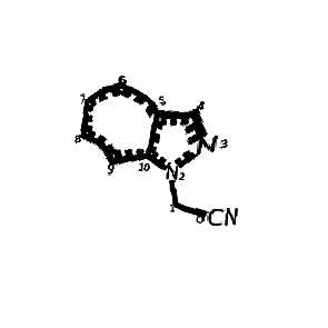 N#CCn1ncc2c[c]ccc21